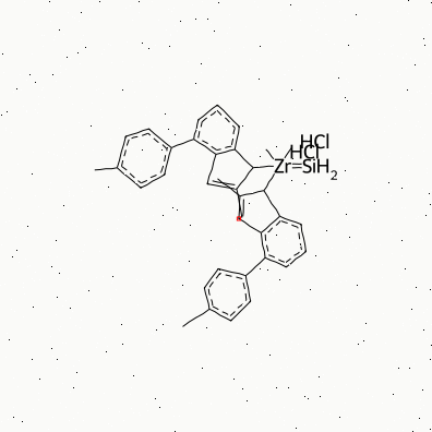 CC1=Cc2c(-c3ccc(C)cc3)cccc2[CH]1[Zr]([CH3])([CH3])(=[SiH2])[CH]1C(C)=Cc2c(-c3ccc(C)cc3)cccc21.Cl.Cl